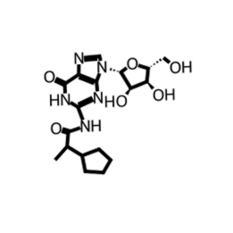 CC(C(=O)Nc1nc2c(ncn2[C@@H]2O[C@H](CO)[C@@H](O)[C@H]2O)c(=O)[nH]1)C1CCCC1